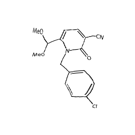 COC(OC)c1ccc(C#N)c(=O)n1Cc1ccc(Cl)cc1